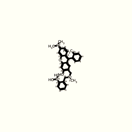 CN(Cc1cc2c(-c3ccccc3C(=O)O)c3ccc(=[N+](C)C)cc-3oc2cc1O)Cc1ccccc1B(O)O